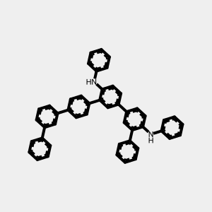 c1ccc(Nc2ccc(-c3ccc(Nc4ccccc4)c(-c4ccc(-c5cccc(-c6ccccc6)c5)cc4)c3)cc2-c2ccccc2)cc1